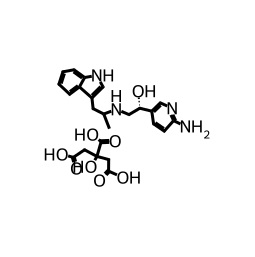 CC(Cc1c[nH]c2ccccc12)NC[C@H](O)c1ccc(N)nc1.O=C(O)CC(O)(CC(=O)O)C(=O)O